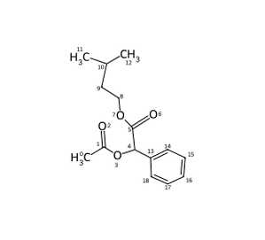 CC(=O)OC(C(=O)OCCC(C)C)c1ccccc1